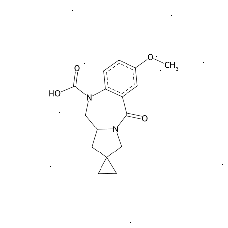 COc1ccc2c(c1)C(=O)N1CC3(CC3)CC1CN2C(=O)O